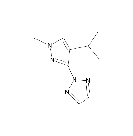 CC(C)c1cn(C)nc1-n1nccn1